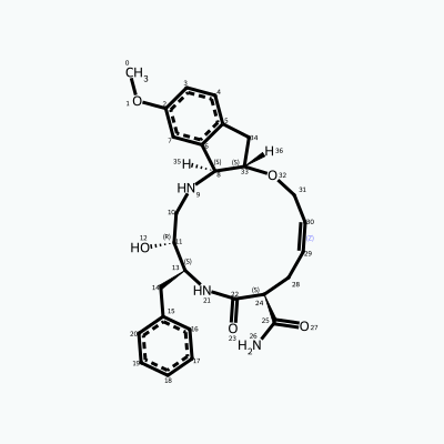 COc1ccc2c(c1)[C@@H]1NC[C@@H](O)[C@H](Cc3ccccc3)NC(=O)[C@H](C(N)=O)C/C=C\CO[C@H]1C2